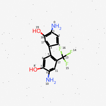 Nc1ccc(-c2cc(O)c(N)cc2C(F)(F)F)cc1O